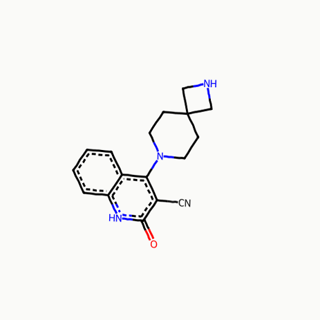 N#Cc1c(N2CCC3(CC2)CNC3)c2ccccc2[nH]c1=O